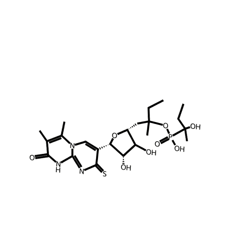 CCC(C)(C[C@H]1O[C@@H](c2cn3c(C)c(C)c(=O)[nH]c3nc2=S)[C@@H](O)C1O)OP(=O)(O)C(C)(O)CC